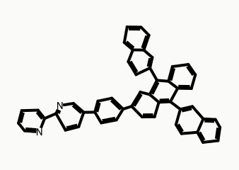 c1ccc(-c2ccc(-c3ccc(-c4ccc5c(-c6ccc7ccccc7c6)c6ccccc6c(-c6ccc7ccccc7c6)c5c4)cc3)cn2)nc1